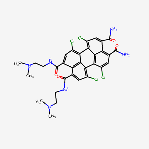 CN(C)CCNC(=O)c1cc(Cl)c2c3c(Cl)cc(C(N)=O)c4c(C(N)=O)cc(Cl)c(c5c(Cl)cc(C(=O)NCCN(C)C)c1c25)c43